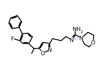 CC(c1ccc(-c2ccccc2)c(F)c1)c1cc(CCC/N=C(\N)N2CCOCC2)no1